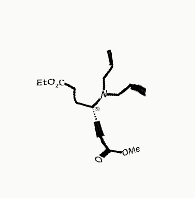 C=CCN(CC=C)[C@H](C#CC(=O)OC)CCC(=O)OCC